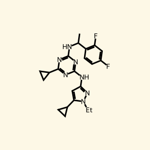 CCn1nc(Nc2nc(NC(C)c3ccc(F)cc3F)nc(C3CC3)n2)cc1C1CC1